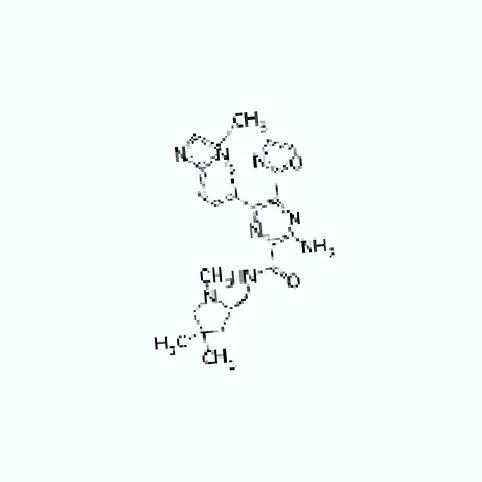 Cc1cnc2ccc(-c3nc(C(=O)NC[C@H]4CC(C)(C)CN4C)c(N)nc3-c3ncco3)cn12